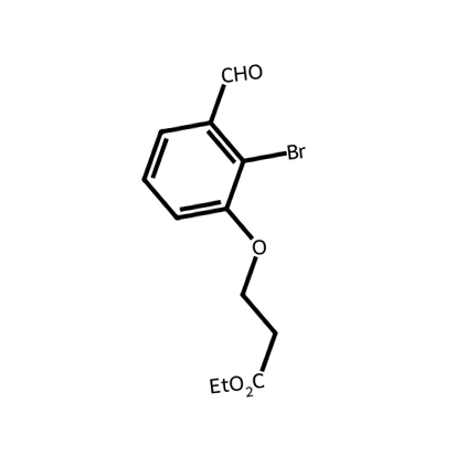 CCOC(=O)CCOc1cccc(C=O)c1Br